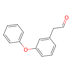 O=CCc1cccc(Oc2ccccc2)c1